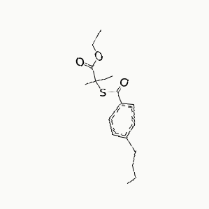 CCCCc1ccc(C(=O)SC(C)(C)C(=O)OCC)cc1